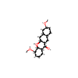 COc1ccc2cc3c(=O)c4cccc(OC)c4oc3cc2c1